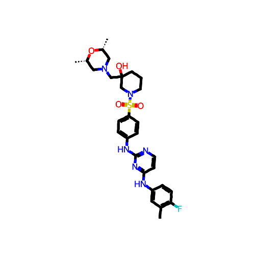 Cc1cc(Nc2ccnc(Nc3ccc(S(=O)(=O)N4CCCC(O)(CN5C[C@@H](C)O[C@@H](C)C5)C4)cc3)n2)ccc1F